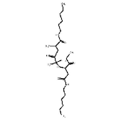 CCCCCCNC(=O)CC(NC(C)(C)C(=O)CC(N)C(=O)NCCCCCC)C(=O)CC